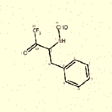 O=[C]NC(Cc1ccccc1)C(=O)C(F)(F)F